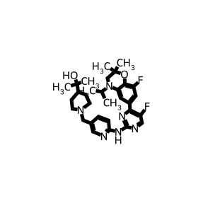 CC(C)N1CC(C)(C)Oc2c(F)cc(-c3nc(Nc4ccc(CN5CCC(C(C)(C)O)CC5)cn4)ncc3F)cc21